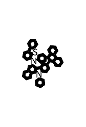 c1ccc(N(c2cccc3c2sc2ccccc23)c2cc3ccccc3c3c2c2cc(-c4cc5ccccc5c5ccccc45)ccc2n3-c2ccccc2)cc1